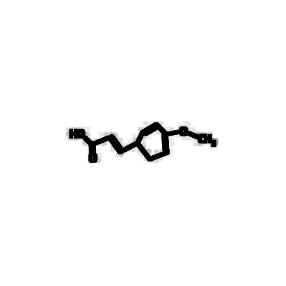 COC1=CCC(C=CC(=O)O)C=C1